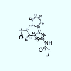 CCC(=O)Nc1nc(-c2ccccc2)c(C2=COCC2)s1